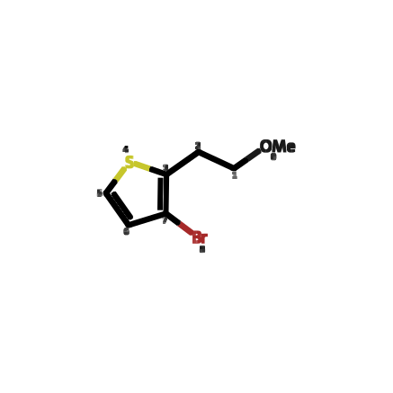 COCCc1sccc1Br